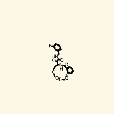 O=C(NCc1cccc(F)c1)C(=O)C1CCCCOCCOCc2ccccc2C(=O)N1